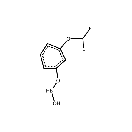 OBOc1cccc(OC(F)F)c1